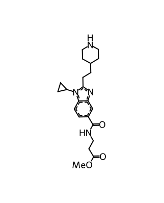 COC(=O)CCNC(=O)c1ccc2c(c1)nc(CCC1CCNCC1)n2C1CC1